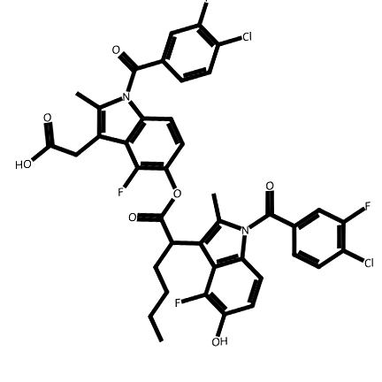 CCCCC(C(=O)Oc1ccc2c(c1F)c(CC(=O)O)c(C)n2C(=O)c1ccc(Cl)c(F)c1)c1c(C)n(C(=O)c2ccc(Cl)c(F)c2)c2ccc(O)c(F)c12